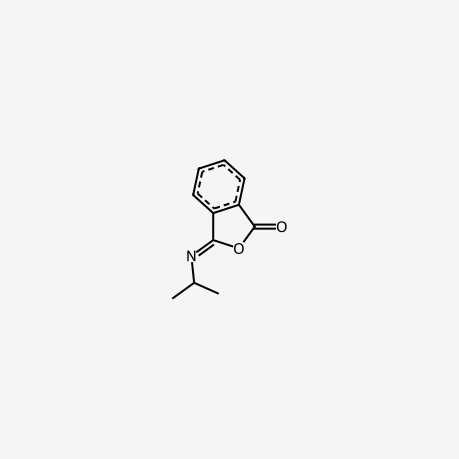 CC(C)/N=C1\OC(=O)c2ccccc21